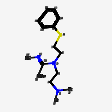 CCN(CC)CCN(CCSc1ccccc1)C(=NC#N)SC